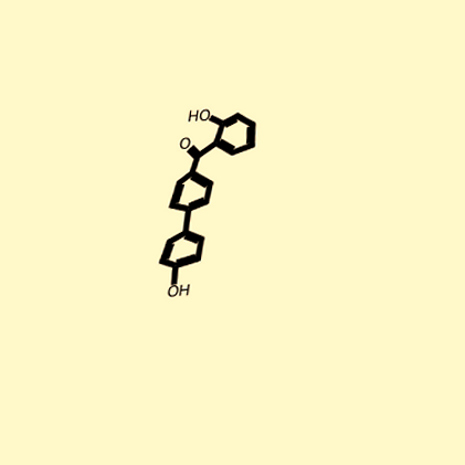 O=C(c1ccc(-c2ccc(O)cc2)cc1)c1ccccc1O